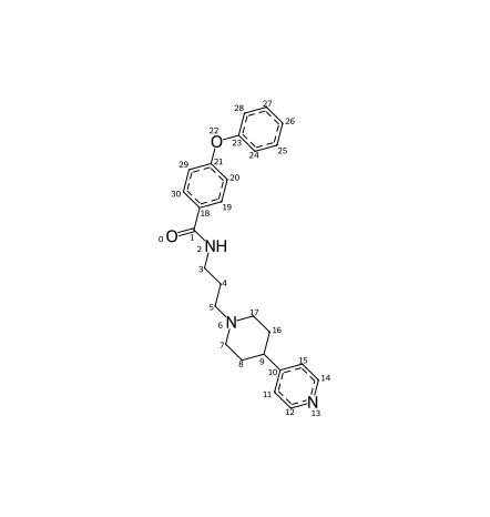 O=C(NCCCN1CCC(c2ccncc2)CC1)c1ccc(Oc2ccccc2)cc1